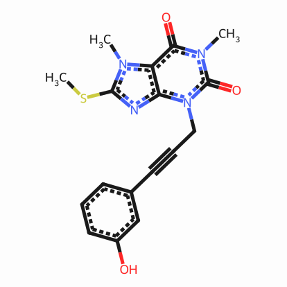 CSc1nc2c(c(=O)n(C)c(=O)n2CC#Cc2cccc(O)c2)n1C